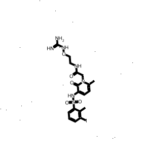 Cc1c(I)cccc1S(=O)(=O)Nc1ccc(C)n(CC(=O)NCCONC(=N)N)c1=O